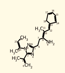 C=C(C)c1nc(CC/C(N)=C(C)/C=C2/C=CC=CC2)nn1/C(C)=C\C